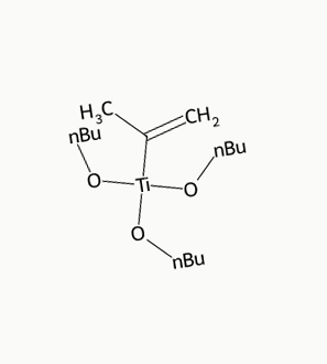 C=[C](C)[Ti]([O]CCCC)([O]CCCC)[O]CCCC